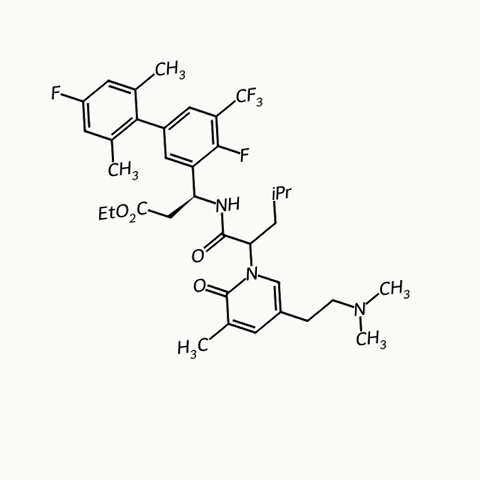 CCOC(=O)C[C@H](NC(=O)C(CC(C)C)n1cc(CCN(C)C)cc(C)c1=O)c1cc(-c2c(C)cc(F)cc2C)cc(C(F)(F)F)c1F